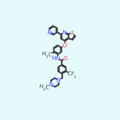 Cc1ccc(Oc2cc(-c3cccnc3)nc3sccc23)cc1NC(=O)c1ccc(CN2CCN(C)CC2)c(C(F)(F)F)c1